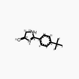 CC(C)(C)c1ccc(C2=NC(=O)CN2)cc1